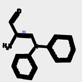 B/C(C=O)=C\N(c1ccccc1)c1ccccc1